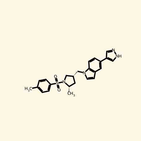 Cc1ccc(S(=O)(=O)N2C[C@H](Cn3ccc4cc(-c5cn[nH]c5)ccc43)C[C@@H]2C)cc1